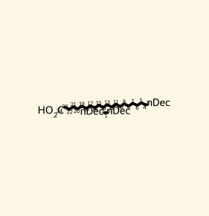 CCCCCCCCCCCCCCCCCCCCC.CCCCCCCCCCCCCCCCCCCCCCCCCCCCCCC(=O)O